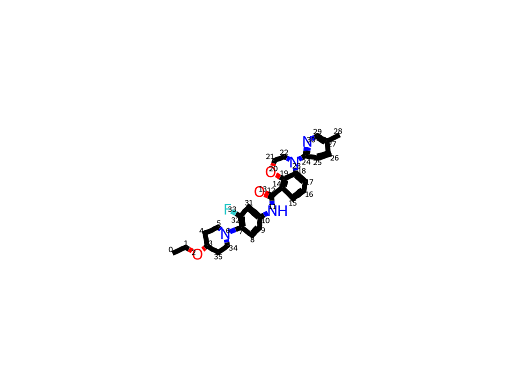 CCOC1CCN(c2ccc(NC(=O)c3cccc4c3OCCN4c3ccc(C)cn3)cc2F)CC1